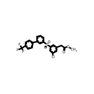 COC(=O)Cc1cc(Cl)cc(S(=O)(=O)c2cccc(-c3ccc(C(F)(F)F)cc3)c2)c1